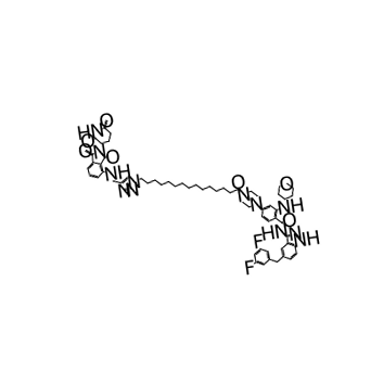 O=C1CCC(N2C(=O)c3cccc(NCc4cn(CCCCCCCCCCCCCCC(=O)N5CCN(c6ccc(C(=O)Nc7n[nH]c8ccc(Cc9cc(F)cc(F)c9)cc78)c(NC7CCOCC7)c6)CC5)nn4)c3C2=O)C(=O)N1